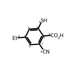 CCc1cc(S)c(C(=O)O)c(C#N)c1